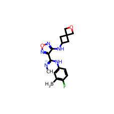 Bc1cc(N/C(=N\C)c2nonc2NC2CC3(COC3)C2)ccc1F